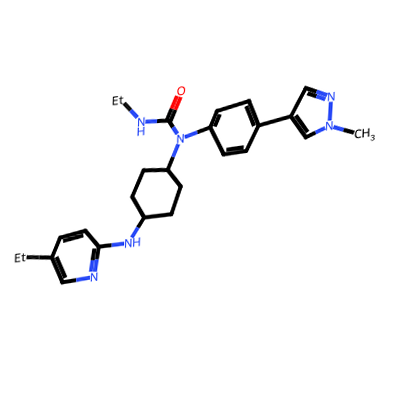 CCNC(=O)N(c1ccc(-c2cnn(C)c2)cc1)C1CCC(Nc2ccc(CC)cn2)CC1